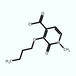 CCCCOc1c(C(=O)Cl)ccn(C)c1=O